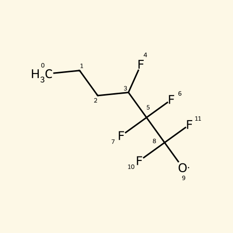 CCCC(F)C(F)(F)C([O])(F)F